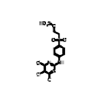 O=S(=O)(O)OCCS(=O)(=O)c1ccc(Nc2nc(Cl)c(Cl)c(Cl)n2)cc1